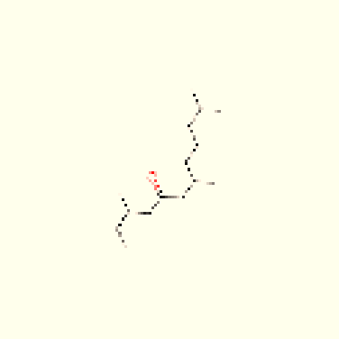 CCC(C)CC(=O)CC(C)CCCC(C)C